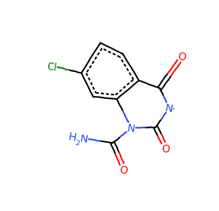 NC(=O)N1C(=O)[N]C(=O)c2ccc(Cl)cc21